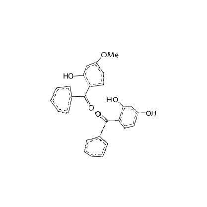 COc1ccc(C(=O)c2ccccc2)c(O)c1.O=C(c1ccccc1)c1ccc(O)cc1O